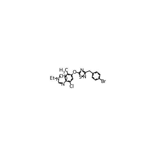 CCN(C)/C=N\c1cc(C)c(Oc2nc(Cc3ccc(Br)cc3)ns2)cc1Cl